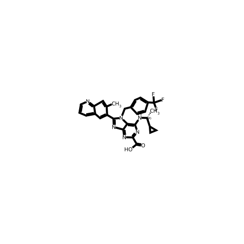 Cc1cc2ncccc2cc1-c1nc2nc(C(=O)O)nc(N[C@H](C)C3CC3)c2n1Cc1ccc(C(F)(F)F)cc1